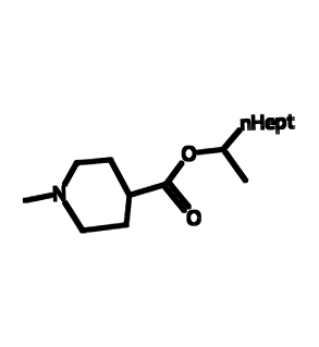 CCCCCCCC(C)OC(=O)C1CCN(C)CC1